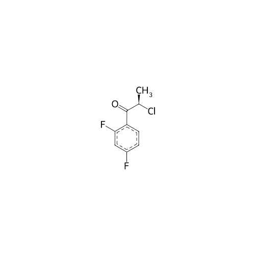 C[C@@H](Cl)C(=O)c1ccc(F)cc1F